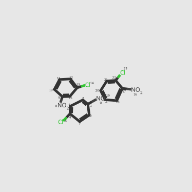 O=[N+]([O-])c1ccc(Cl)cc1.O=[N+]([O-])c1cccc(Cl)c1.O=[N+]([O-])c1ccccc1Cl